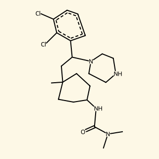 CN(C)C(=O)NC1CCC(C)(CC(c2cccc(Cl)c2Cl)N2CCNCC2)CC1